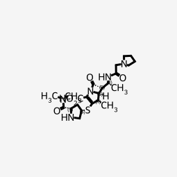 C[C@@H](NC(=O)CN1CCCC1)[C@H]1C(=O)N2C(C(=O)O)=C(S[C@@H]3CN[C@H](C(=O)N(C)C)C3)[C@H](C)[C@H]12